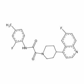 Cc1ccc(NC(=O)C(=O)N2CCC(c3ccnc4ccc(F)cc34)CC2)c(F)c1